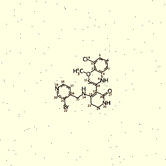 COc1c(Cl)cccc1NC(=S)C1=C(NCc2ccncc2Br)CCNC1=O